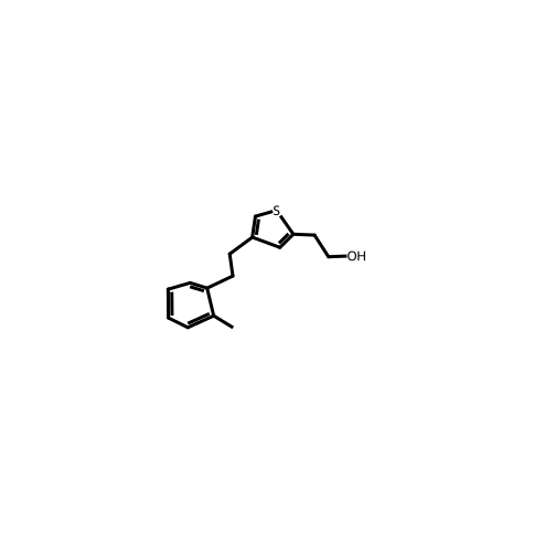 Cc1ccccc1CCc1csc(CCO)c1